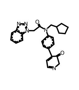 O=C1CN=CC=C1c1ccc(N(CC2CCCC2)C(=O)Cn2nnc3ccccc32)cc1